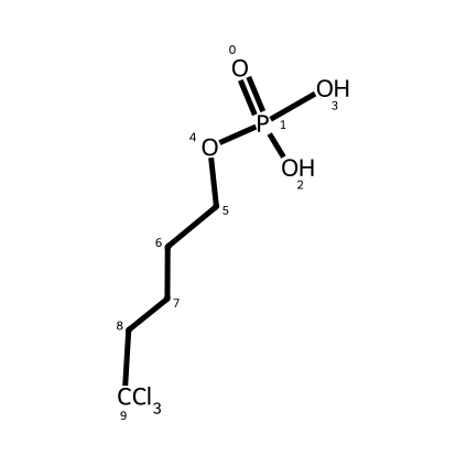 O=P(O)(O)OCCCCC(Cl)(Cl)Cl